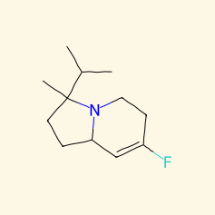 CC(C)C1(C)CCC2C=C(F)CCN21